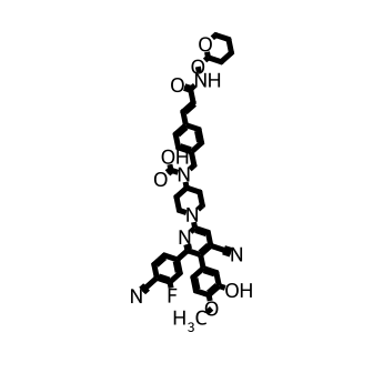 COc1ccc(-c2c(C#N)cc(N3CCC(N(Cc4ccc(C=CC(=O)NOC5CCCCO5)cc4)C(=O)O)CC3)nc2-c2ccc(C#N)c(F)c2)cc1O